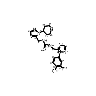 O=C(NCc1ncnn1-c1ccc(Cl)c(F)c1)NCc1ncnn1C1CCOCC1